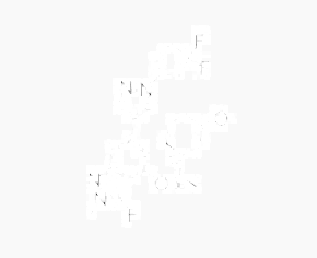 C[C@@H](Oc1cc(-c2cnn(C3CCC(F)(F)C3)c2)cc2nn(C)c(F)c12)[C@H]1CCCC(=O)C1